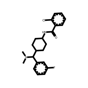 CN(C)C(c1cccc(F)c1)C1CCC(NC(=O)c2ccccc2Cl)CC1